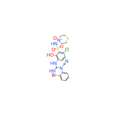 N#CN(C(=N)Nc1ccc(Cl)c(S(=O)(=O)N[N+]2([O-])CCSCC2)c1O)c1ccccc1Br